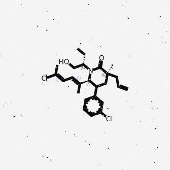 C=CC[C@@]1(C)CC(c2cccc(Cl)c2)[C@@H](/C(C)=C/C=C(\C)Cl)N([C@@H](CC)CO)C1=O